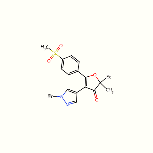 CCC1(C)OC(c2ccc(S(C)(=O)=O)cc2)=C(c2cnn(C(C)C)c2)C1=O